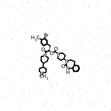 Cc1ccc(C[C@@H](OC(=O)N2CCC(N3CCc4ccccc4NC3=O)CC2)C(=O)N2CCC(C3CCN(C)CC3)CC2)cc1Br